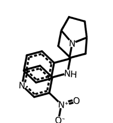 O=[N+]([O-])c1cnccc1NC1CC2CCC(C1)N2Cc1ccccc1